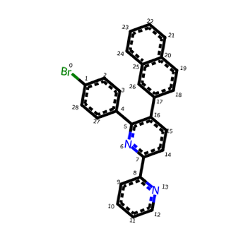 Brc1ccc(-c2nc(-c3ccccn3)ccc2-c2ccc3ccccc3c2)cc1